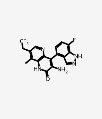 Cc1c(CC(F)(F)F)cnc2c(-c3ccc(F)c4[nH]ncc34)c(N)c(=O)[nH]c12